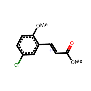 COC(=O)/C=C/c1cc(Cl)ccc1OC